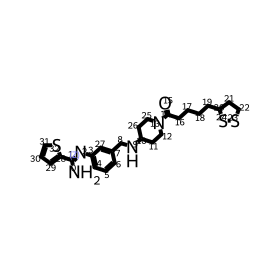 N/C(=N\c1cccc(CNC2CCN(C(=O)CCCCC3CCSS3)CC2)c1)c1cccs1